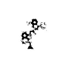 CN(C)CCN(Cc1ccccc1C(F)(F)F)C(=O)CNc1cccc2c1C(=O)N(CC1CC1)CCO2